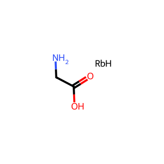 NCC(=O)O.[RbH]